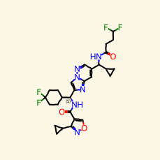 O=C(CCC(F)F)NC(c1cnn2cc([C@@H](NC(=O)c3conc3C3CC3)C3CCC(F)(F)CC3)nc2c1)C1CC1